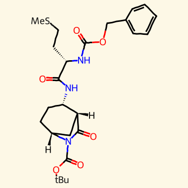 CSCC[C@H](NC(=O)OCc1ccccc1)C(=O)N[C@H]1CC[C@@H]2C[C@H]1C(=O)N2C(=O)OC(C)(C)C